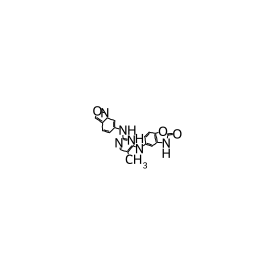 Cc1cnc(Nc2ccc3conc3c2)nc1Nc1ccc2oc(=O)[nH]c2c1